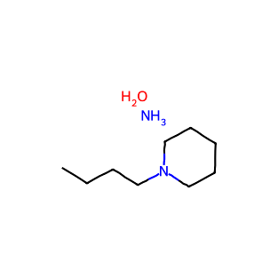 CCCCN1CCCCC1.N.O